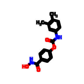 Cc1ccc(NC(=O)Oc2ccc(C(=O)NO)cc2)cc1C